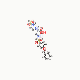 CS(=O)(=O)N1CCN(C(CNCS(=O)(=O)c2ccc(OCc3ccccc3)cc2)C(=O)O)CC1